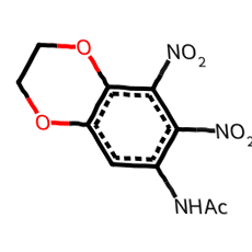 CC(=O)Nc1cc2c(c([N+](=O)[O-])c1[N+](=O)[O-])OCCO2